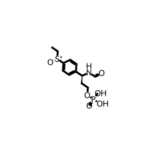 CC[S+]([O-])c1ccc([C@H](CCOP(=O)(O)O)NC=O)cc1